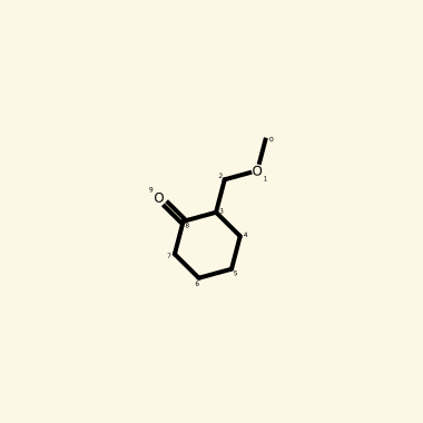 COCC1CCCCC1=O